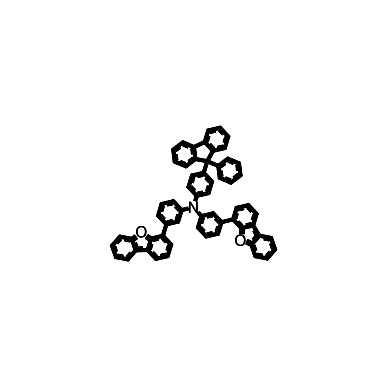 c1ccc(C2(c3ccc(N(c4cccc(-c5cccc6c5oc5ccccc56)c4)c4cccc(-c5cccc6c5oc5ccccc56)c4)cc3)c3ccccc3-c3ccccc32)cc1